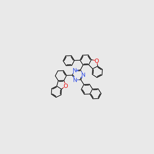 C1=C(c2nc(-c3ccc4ccccc4c3)nc(-c3c(-c4ccccc4)ccc4oc5ccccc5c34)n2)c2oc3ccccc3c2CC1